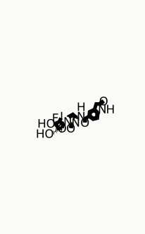 O=C1Cc2cc(C(=O)Nc3ccn(C4O[C@H](CO)[C@@H](O)C4(F)I)c(=O)n3)ccc2N1